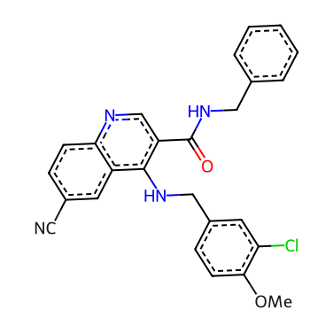 COc1ccc(CNc2c(C(=O)NCc3ccccc3)cnc3ccc(C#N)cc23)cc1Cl